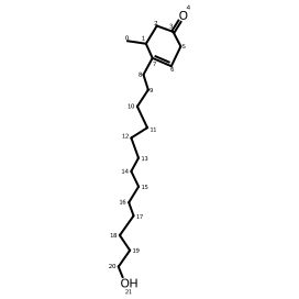 CC1CC(=O)CC=C1CCCCCCCCCCCCCO